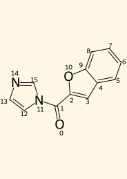 O=C(c1cc2ccccc2o1)n1ccnc1